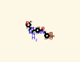 C[C@H]1CC(c2cnc(N)c(-c3ccc(C(=O)NCc4cccc(S(C)(=O)=O)c4)cc3)n2)CCO1